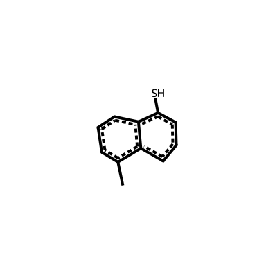 Cc1cccc2c(S)cccc12